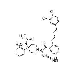 CC(=O)N(C)C1(c2ccccc2)CCN(N(C)C(=O)c2ccccc2CCCCc2ccc(Cl)c(Cl)c2)CC1.Cl.O